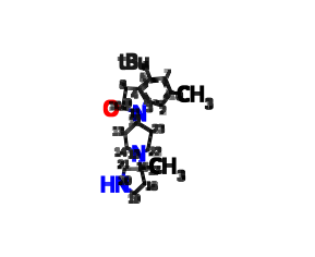 Cc1cc2c(c(C(C)(C)C)c1)CC(=O)N2C1CCN(C2(C)CCNC2)CC1